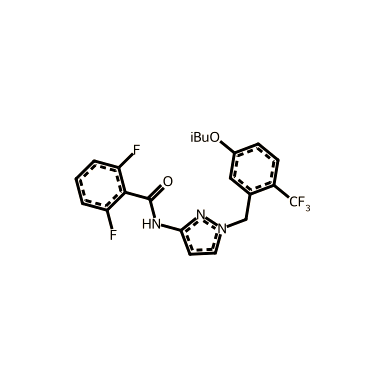 CC(C)COc1ccc(C(F)(F)F)c(Cn2ccc(NC(=O)c3c(F)cccc3F)n2)c1